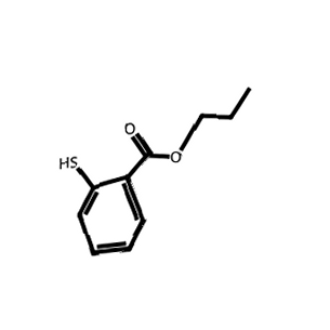 CCCOC(=O)c1ccccc1S